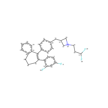 Fc1ccc(C2=C(c3ccc(CC4CN(CCC(F)F)C4)cc3)c3ccccc3CCC2)c(F)c1